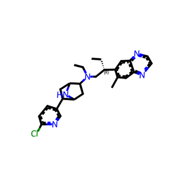 CC[C@@H](CN(CC)C1CC2NC1CC2c1ccc(Cl)nc1)c1cc2nccnc2cc1C